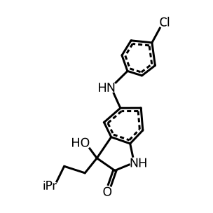 CC(C)CCC1(O)C(=O)Nc2ccc(Nc3ccc(Cl)cc3)cc21